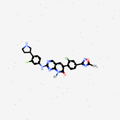 CCn1c(=O)c(-c2ccc(-c3noc(C)n3)cc2Cl)cc2cnc(Nc3ccc(C4CCNC4)c(F)c3)nc21